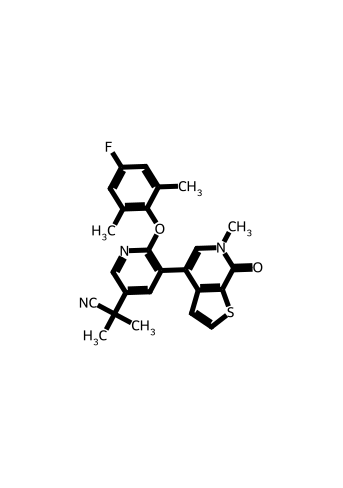 Cc1cc(F)cc(C)c1Oc1ncc(C(C)(C)C#N)cc1-c1cn(C)c(=O)c2sccc12